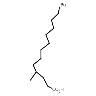 CCC(C)CCCCCCCCC(C)CCC(=O)O